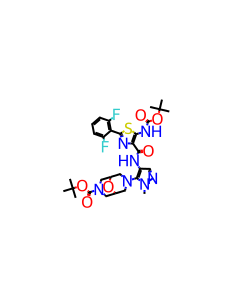 Cn1ncc(NC(=O)c2nc(-c3c(F)cccc3F)sc2NC(=O)OC(C)(C)C)c1N1CC2CN(C(=O)OC(C)(C)C)CC(C1)O2